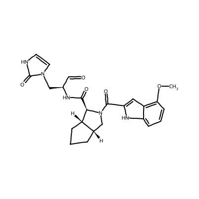 COc1cccc2[nH]c(C(=O)N3C[C@@H]4CCC[C@@H]4[C@H]3C(=O)N[C@H](C=O)Cn3cc[nH]c3=O)cc12